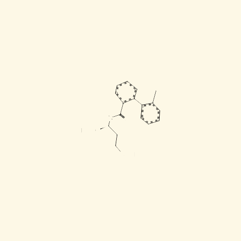 Cc1ccccc1-c1ccccc1C(=O)N[C@@H](CCS(=O)(=O)O)C(=O)O